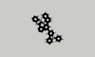 c1ccc(-c2nc3ccccc3nc2-n2c3ccc(-c4ccc5c(c4)c4ccccc4n5-c4ccccc4)cc3c3ccc4ccccc4c32)cc1